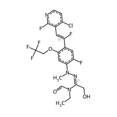 CCN(C=O)/C(CO)=N\N(C)c1cc(OCC(F)(F)F)c(/C(F)=C/c2c(Cl)ccnc2F)cc1F